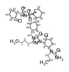 CCCCc1nn(-c2cc(N(CCC)C(N)=O)ccc2Cl)c(=O)n1Cc1ccc(-c2ccccc2S(=O)(=O)NC(=O)c2ccccc2Cl)cc1